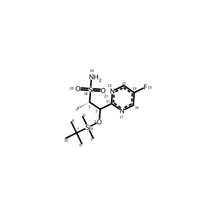 C[C@@H](C(O[Si](C)(C)C(C)(C)C)c1ncc(F)cn1)S(N)(=O)=O